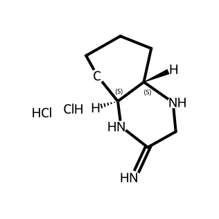 Cl.Cl.N=C1CN[C@H]2CCCC[C@@H]2N1